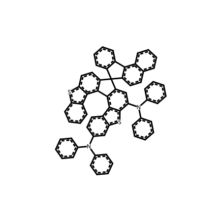 c1ccc(N(c2ccccc2)c2ccc3c(c2)sc2c(N(c4ccccc4)c4ccccc4)cc4c(c23)-c2c(ccc3sc5ccccc5c23)C42c3ccccc3-c3c2ccc2ccccc32)cc1